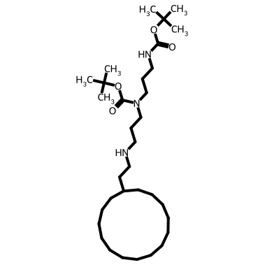 CC(C)(C)OC(=O)NCCCN(CCCNCCC1CCCCCCCCCCCCCC1)C(=O)OC(C)(C)C